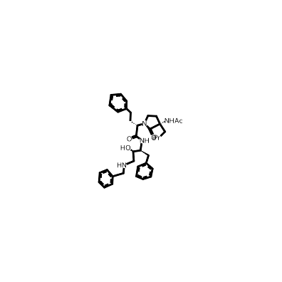 CC(=O)N[C@@]1(CC(C)C)CCN([C@@H](CCc2ccccc2)C(=O)N[C@@H](Cc2ccccc2)[C@H](O)CNCc2ccccc2)C1=O